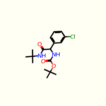 CC(C)(C)NC(=O)C(NC(=O)OC(C)(C)C)c1cccc(Cl)c1